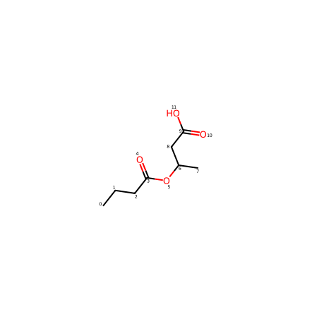 CCCC(=O)OC(C)CC(=O)O